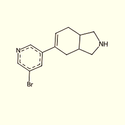 Brc1cncc(C2=CCC3CNCC3C2)c1